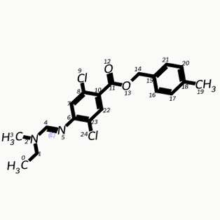 CCN(C)/C=N/c1cc(Cl)c(C(=O)OCc2ccc(C)cc2)cc1Cl